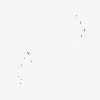 CCCCC/C=C\CCCOC[C@@H](C)COCCCCCCCO[C@H]1CC[C@@]2(C)C(=CC[C@H]3C4CC[C@H]([C@H](C)CCCC(C)C)[C@H]4CCC32)C1